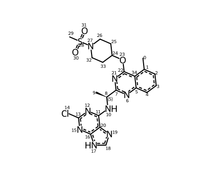 Cc1cccc2nc([C@H](C)Nc3nc(Cl)nc4[nH]cnc34)nc(OC3CCN(S(C)(=O)=O)CC3)c12